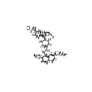 COc1ccc2ncc(C#N)c(CCN3CCC(N(C)c4ncc([N+](=O)[O-])[nH]4)CC3)c2c1